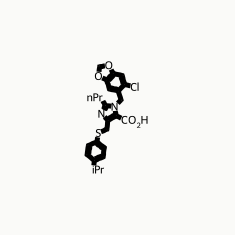 CCCc1nc(CSc2ccc(C(C)C)cc2)c(C(=O)O)n1Cc1cc2c(cc1Cl)OCO2